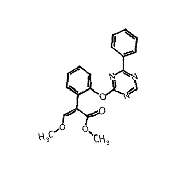 COC=C(C(=O)OC)c1ccccc1Oc1ncnc(-c2ccccc2)n1